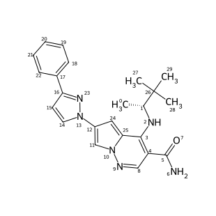 C[C@@H](Nc1c(C(N)=O)cnn2cc(-n3ccc(-c4ccccc4)n3)cc12)C(C)(C)C